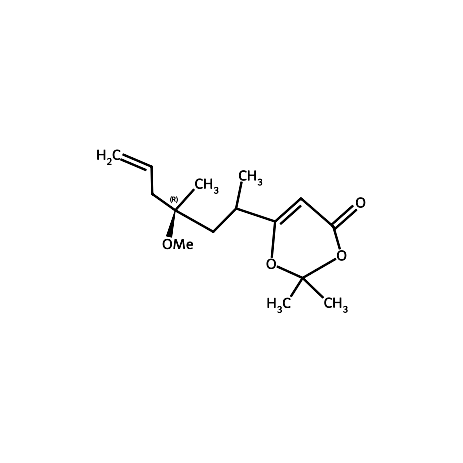 C=CC[C@](C)(CC(C)C1=CC(=O)OC(C)(C)O1)OC